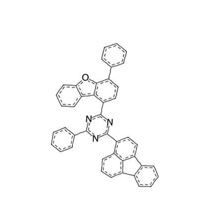 c1ccc(-c2nc(-c3ccc4c5c(cccc35)-c3ccccc3-4)nc(-c3ccc(-c4ccccc4)c4oc5ccccc5c34)n2)cc1